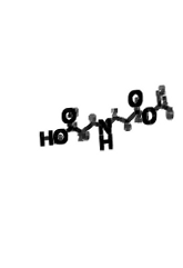 CC(C)OC(=O)CCNCCC(=O)O